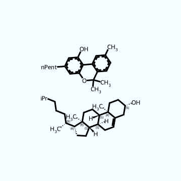 CC(C)CCC[C@@H](C)[C@H]1CC[C@H]2[C@@H]3CC=C4C[C@@H](O)CC[C@]4(C)[C@H]3CC[C@]12C.CCCCCc1cc(O)c2c(c1)OC(C)(C)c1ccc(C)cc1-2